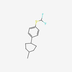 CC1CCC(c2ccc(SC(F)F)cc2)CC1